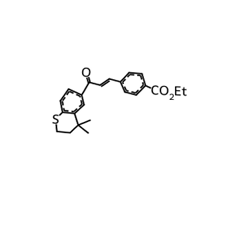 CCOC(=O)c1ccc(/C=C/C(=O)c2ccc3c(c2)C(C)(C)CCS3)cc1